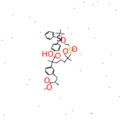 COC(=O)[C@H](C)Cc1cccc(C(C)(CCCC(C)(C)CS(=O)(=O)CCO[Si](c2ccccc2)(c2ccccc2)C(C)(C)C)C(=O)O)c1